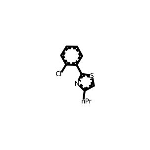 CCCc1csc(-c2ccccc2Cl)n1